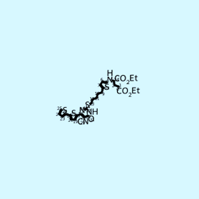 CCOC(=O)CC[C@H](Nc1ccc(CCCCCSc2nc(-c3ccc(-c4cccs4)s3)c(C#N)c(=O)[nH]2)s1)C(=O)OCC